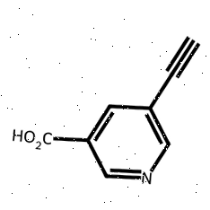 C#Cc1cncc(C(=O)O)c1